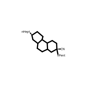 CCCCCCC[C@H]1CCC2C(CCC3C[C@@](C#N)(CCCCC)CCC32)C1